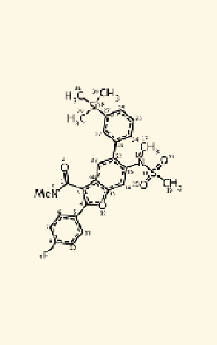 CNC(=O)c1c(-c2ccc(F)cc2)oc2cc(N(C)S(C)(=O)=O)c(-c3cccc([Si](C)(C)C)c3)cc12